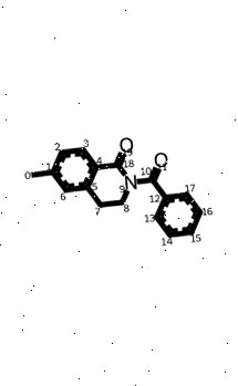 Cc1ccc2c(c1)CCN(C(=O)c1ccccc1)C2=O